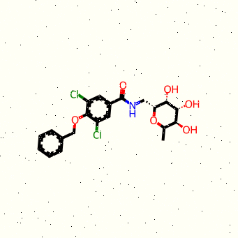 CC1O[C@H](CNC(=O)c2cc(Cl)c(OCc3ccccc3)c(Cl)c2)[C@H](O)[C@H](O)[C@H]1O